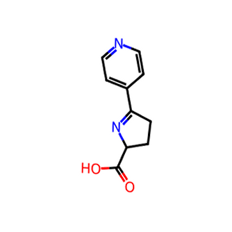 O=C(O)C1CCC(c2ccncc2)=N1